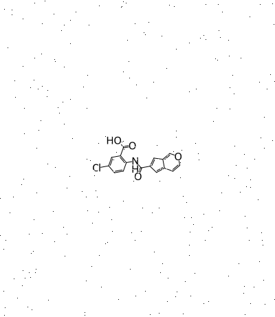 O=C(Nc1ccc(Cl)cc1C(=O)O)c1cc2ccocc-2c1